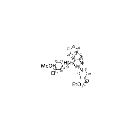 CCOC(=O)OC1CCN(c2nc(NCc3ccc(OC)c(Cl)c3)c3c4c(sc3n2)CCCC4)CC1